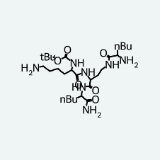 CCCCC(N)C(=O)NCCC(NC(=O)C(CCCCN)NC(=O)OC(C)(C)C)C(=O)NC(CCCC)C(N)=O